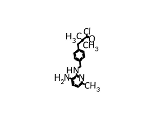 Cc1ccc(N)c(NCc2ccc(CC(C)(C)C(=O)Cl)cc2)n1